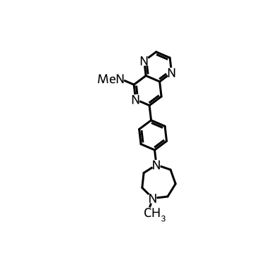 CNc1nc(-c2ccc(N3CCCN(C)CC3)cc2)cc2nccnc12